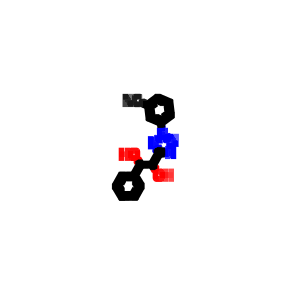 N#Cc1cccc(-n2nnc(C(O)C(O)c3ccccc3)n2)c1